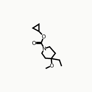 CCC1(OC)CCN(C(=O)OC2CC2)CC1